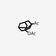 CC(=O)OC12CC3CC(C1)CC(C(C)=O)(C3)C2